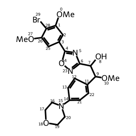 COc1cc(-c2nc(C(O)C(OC)c3ccc(N4CCOCC4)cc3)no2)cc(OC)c1Br